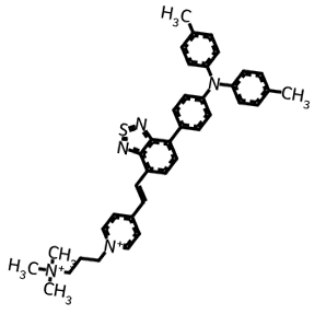 Cc1ccc(N(c2ccc(C)cc2)c2ccc(-c3ccc(/C=C/c4cc[n+](CCC[N+](C)(C)C)cc4)c4nsnc34)cc2)cc1